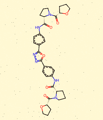 O=C(Nc1ccc(-c2nnc(-c3ccc(NC(=O)[C@@H]4CCCN4C(=O)[C@@H]4CCCO4)cc3)o2)cc1)[C@@H]1CCCN1C(=O)[C@@H]1CCCO1